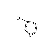 [CH2]Cc1cccnc1